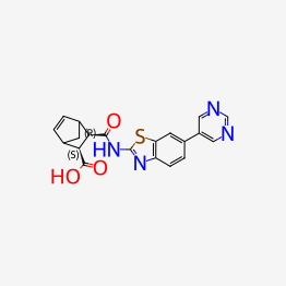 O=C(Nc1nc2ccc(-c3cncnc3)cc2s1)[C@@H]1C2C=CC(C2)[C@@H]1C(=O)O